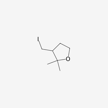 CC1(C)OCCC1CI